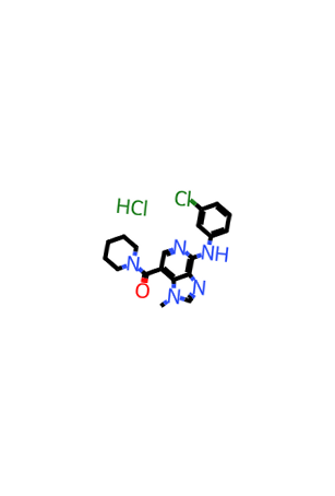 Cl.Cn1cnc2c(Nc3cccc(Cl)c3)ncc(C(=O)N3CCCCC3)c21